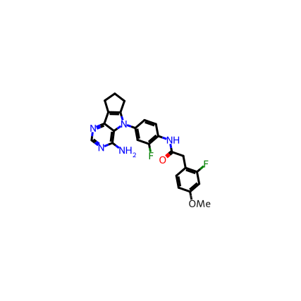 COc1ccc(CC(=O)Nc2ccc(-n3c4c(c5ncnc(N)c53)CCC4)cc2F)c(F)c1